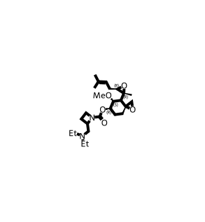 CCN(CC)CC1CCN1C(=O)O[C@@H]1CC[C@]2(CO2)C([C@@]2(C)O[C@@H]2CC=C(C)C)[C@@H]1OC